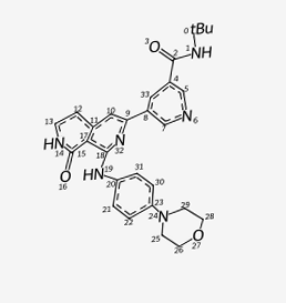 CC(C)(C)NC(=O)c1cncc(-c2cc3cc[nH]c(=O)c3c(Nc3ccc(N4CCOCC4)cc3)n2)c1